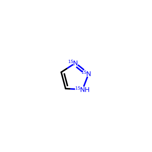 c1c[15nH][15n][15n]1